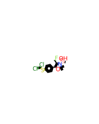 CB(O)N1[C@H](CF)[C@@H](c2ccc(SC(Cl)Cl)cc2)OC1(C)C